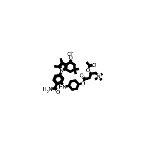 CC(=O)OC(CC(=O)OC1CCC(Nc2cc(-n3c(C)c(C)c4c3CC(C)(C)CC4=O)ccc2C(N)=O)CC1)C[N+](C)(C)C.[Cl-]